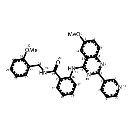 COc1ccc2nc(-c3cccnc3)nc(Nc3ccccc3C(=O)NCc3ccccc3OC)c2c1